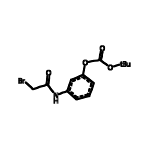 CC(C)(C)OC(=O)Oc1cccc(NC(=O)CBr)c1